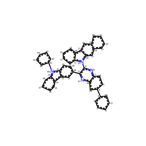 c1ccc(-c2ccc3nc(-n4c5ccccc5c5cc6ccccc6cc54)c(-c4ccc5c(c4)c4ccccc4n5-c4ccccc4)nc3c2)cc1